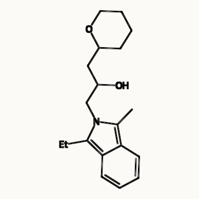 CCc1c2ccccc2c(C)n1CC(O)CC1CCCCO1